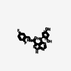 O=C(NCc1cc(F)ccc1F)c1n[nH]c2ncnc(N[C@@H]3C[C@@H](O)C[C@H]3O)c12